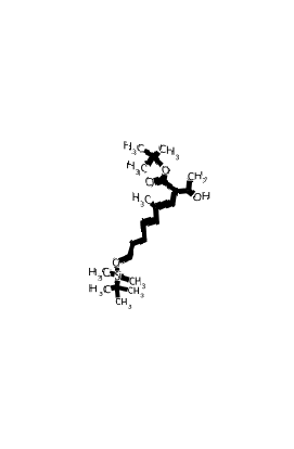 CC(/C=C/CCCO[Si](C)(C)C(C)(C)C)=C\C(C(=O)OC(C)(C)C)C(C)O